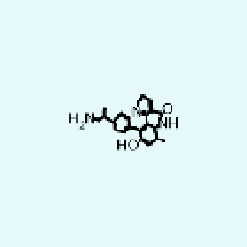 Cc1cc(O)c(-c2ccc(C(C)CN)cc2)c2c1[nH]c(=O)c1cccnc12